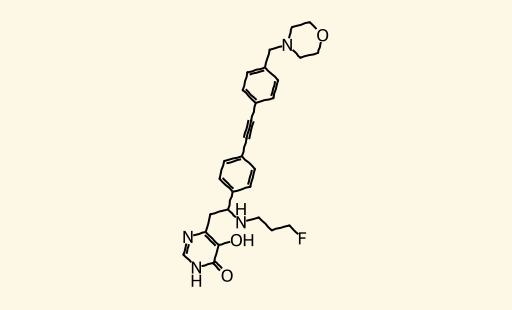 O=c1[nH]cnc(CC(NCCCF)c2ccc(C#Cc3ccc(CN4CCOCC4)cc3)cc2)c1O